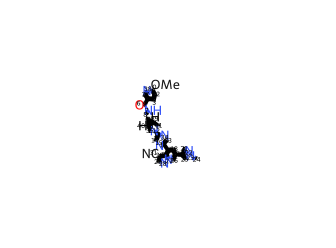 COc1ccc(C(=O)NC[C@@H]2[C@H]3CN(c4cnc(-c5cc(-c6cnn(C)c6)cn6ncc(C#N)c56)cn4)C[C@@H]23)cn1